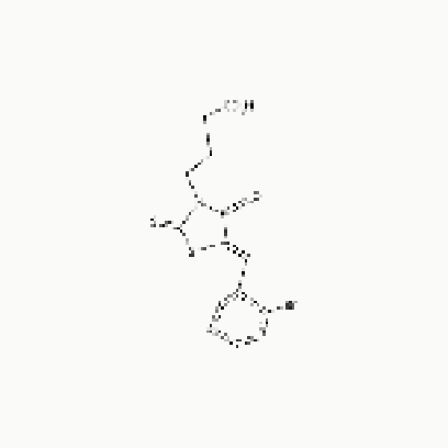 O=C(O)CCCN1C(=O)/C(=C/c2ccccc2Br)SC1=S